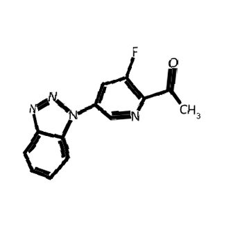 CC(=O)c1ncc(-n2nnc3ccccc32)cc1F